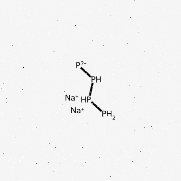 [Na+].[Na+].[P-2]PPP